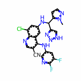 Cn1nccc1C(Nc1cc(Cl)c2ncc(C#N)c(Nc3cnc(F)c(F)c3)c2c1)c1c[nH]nn1